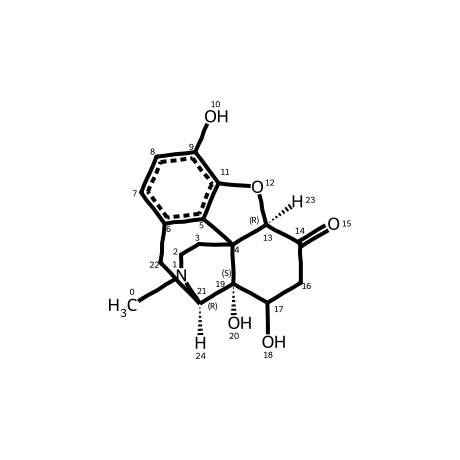 CN1CCC23c4c5ccc(O)c4O[C@H]2C(=O)CC(O)[C@@]3(O)[C@H]1C5